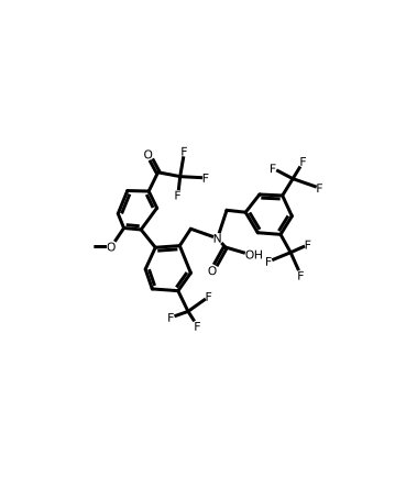 COc1ccc(C(=O)C(F)(F)F)cc1-c1ccc(C(F)(F)F)cc1CN(Cc1cc(C(F)(F)F)cc(C(F)(F)F)c1)C(=O)O